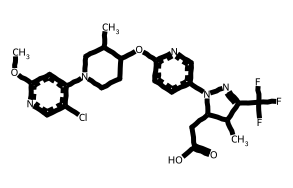 COc1cc(N2CCC(Oc3ccc(N4N=C(C(F)(F)F)C(C)C4CC(=O)O)cn3)C(C)C2)c(Cl)cn1